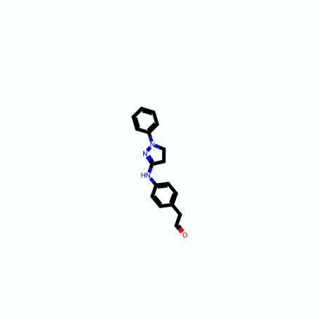 O=CCc1ccc(NC2=NN(c3ccccc3)CC2)cc1